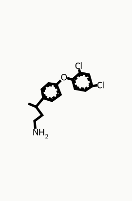 CC(CCN)c1ccc(Oc2ccc(Cl)cc2Cl)cc1